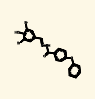 O=C(NN=Cc1cc(Br)c(O)c(Br)c1)c1ccc(Oc2ccccc2)cc1